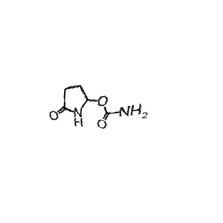 NC(=O)OC1CCC(=O)N1